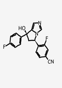 N#Cc1ccc([C@H]2C[C@](O)(c3ccc(F)cc3)c3cncn32)c(F)c1